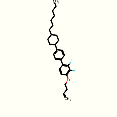 C=CCCOc1ccc(-c2ccc(C3CCC(CCCCCCC)CC3)cc2)c(F)c1F